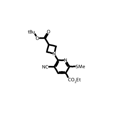 CCOC(=O)c1cc(C#N)c(N2CC(C(=O)OC(C)(C)C)C2)nc1SC